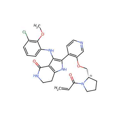 C=CC(=O)N1CCC[C@H]1COc1cnccc1-c1[nH]c2c(c1Nc1cccc(Cl)c1OC)C(=O)NCC2